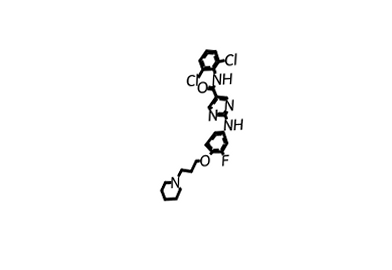 O=C(Nc1c(Cl)cccc1Cl)c1cnc(Nc2ccc(OCCCN3CCCCC3)c(F)c2)nc1